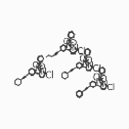 CCCC#Cc1ccc2c(c1)c1ccc(Cl)nc1n2S(=O)(=O)c1ccccc1.O=S(=O)(c1ccccc1)n1c2ccc(C#CC3=CCCCC3)cc2c2ccc(Cl)nc21.O=S(=O)(c1ccccc1)n1c2ccc(C#CC3CCCCC3)cc2c2ccc(Cl)nc21.O=S(=O)(c1ccccc1)n1c2ccc(C#Cc3ccccc3)cc2c2ccc(Cl)nc21